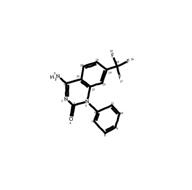 Nc1nc(=O)n(-c2ccccc2)c2cc(C(F)(F)F)ccc12